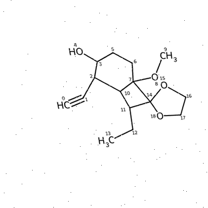 C#CC1C(O)CCC2(OC)C1C(CC)C21OCCO1